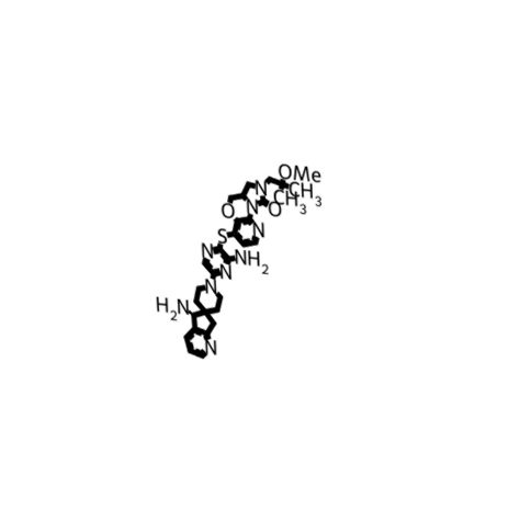 COC(C)(C)CN1CC2COc3c(Sc4ncc(N5CCC6(CC5)Cc5ncccc5[C@H]6N)nc4N)ccnc3N2C1=O